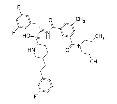 CCCN(CCC)C(=O)c1cc(C)cc(C(=O)N[C@@H](Cc2cc(F)cc(F)c2)[C@H](O)C2CCC(CCc3cccc(F)c3)CN2)c1